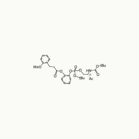 COc1ccccc1CCC(=O)Oc1ccccc1OP(=O)(OC[C@H](NC(=O)OC(C)(C)C)C(C)=O)OC(C)(C)C